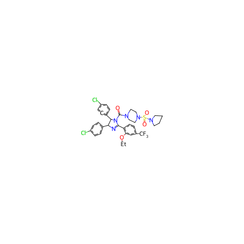 CCOc1cc(C(F)(F)F)ccc1C1=NC(c2ccc(Cl)cc2)C(c2ccc(Cl)cc2)N1C(=O)N1CCN(S(=O)(=O)N2CCCC2)CC1